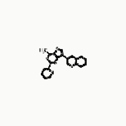 Cc1nc(-c2ccccn2)nc2c(-c3cnc4ccccc4c3)csc12